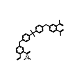 C=Cc1ccc(Cc2ccc(C(C)(C)c3ccc(Cc4ccc(C(=C)C)c(C(=C)C)c4)cc3)cc2)cc1C(=C)N(C)C